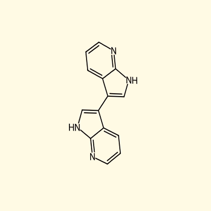 c1cnc2[nH]cc(-c3c[nH]c4ncccc34)c2c1